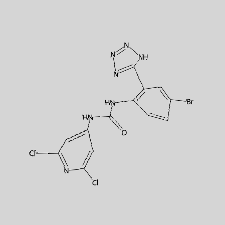 O=C(Nc1cc(Cl)nc(Cl)c1)Nc1ccc(Br)cc1-c1nnn[nH]1